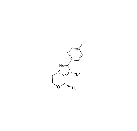 C[C@H]1OCCn2nc(-c3ccc(F)cn3)c(Br)c21